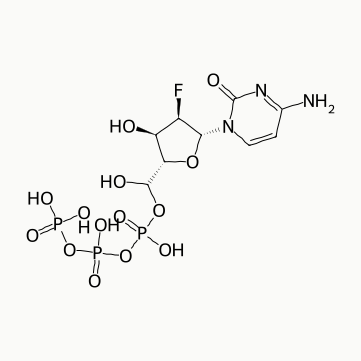 Nc1ccn([C@@H]2O[C@H](C(O)OP(=O)(O)OP(=O)(O)OP(=O)(O)O)[C@@H](O)[C@H]2F)c(=O)n1